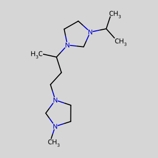 CC(C)N1CCN(C(C)CCN2CCN(C)C2)C1